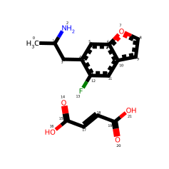 CC(N)Cc1cc2occc2cc1F.O=C(O)C=CC(=O)O